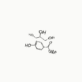 COC(=O)c1ccc(O)cc1.OCC(O)CO